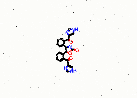 O=C1N=C(c2ccccc2C(=O)c2c[nH]cn2)C(c2ccccc2C(=O)c2c[nH]cn2)O1